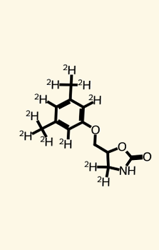 [2H]c1c(OCC2OC(=O)NC2([2H])[2H])c([2H])c(C([2H])([2H])[2H])c([2H])c1C([2H])([2H])[2H]